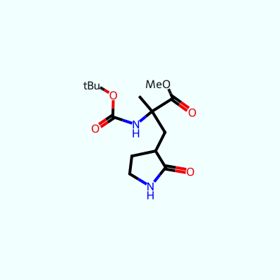 COC(=O)C(C)(CC1CCNC1=O)NC(=O)OC(C)(C)C